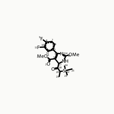 COC(=O)C1=C(c2ccc(F)c(F)c2)N=C(OC)NC1C(=O)C(C)[Si](C)(C)C